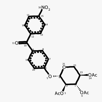 CC(=O)O[C@@H]1[C@@H](OC(C)=O)[C@H](Oc2ccc(C(=O)c3ccc([N+](=O)[O-])cc3)cc2)OC[C@H]1OC(C)=O